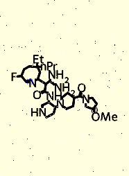 CCCC1(CC)CCC(F)/C=N\C(C(C(=O)NC2CNCCC2N2CCC(C(=O)N3CC[C@@H](OC)C3)CC2)C(N)N)C1